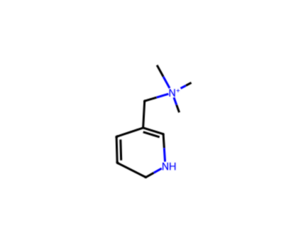 C[N+](C)(C)CC1=CNCC=C1